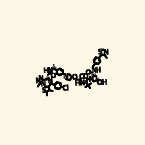 Cc1ncsc1-c1ccc(CNC(=O)[C@@H]2C[C@@H](O)CN2C(=O)[C@@H](NC(=O)COC2CCN(c3ccc([C@@H](C)NC(=O)C[C@@H]4N=C(c5ccc(Cl)cc5)c5c(sc(C)c5C)-n5c(C)nnc54)cc3)C2)C(C)(C)C)cc1